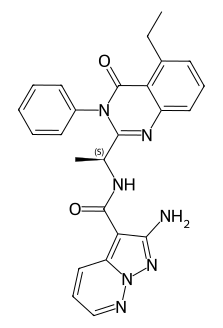 CCc1cccc2nc([C@H](C)NC(=O)c3c(N)nn4ncccc34)n(-c3ccccc3)c(=O)c12